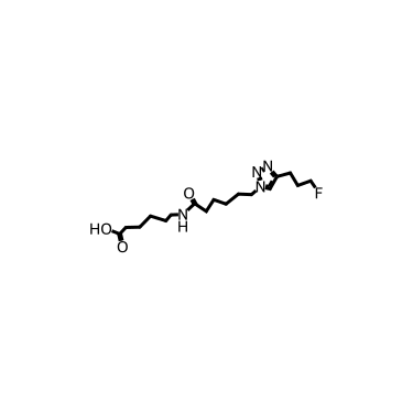 O=C(O)CCCCCNC(=O)CCCCCn1cc(CCCF)nn1